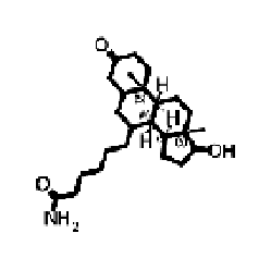 C[C@]12CCC(=O)CC1CC(CCCCCC(N)=O)[C@@H]1[C@H]2CC[C@]2(C)C(O)CC[C@@H]12